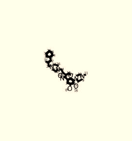 COc1cc2c(c(N3CCN(C)CC3)c1OC)OCC1C2=NOC1CN1CCN(CC(C)=Cc2ccccc2)CC1